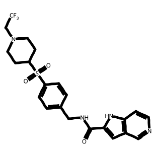 O=C(NCc1ccc(S(=O)(=O)C2CCN(CC(F)(F)F)CC2)cc1)c1cc2cnccc2[nH]1